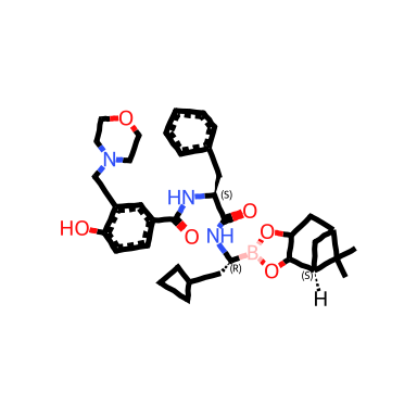 CC1(C)C2CC3OB([C@H](CC4CCC4)NC(=O)[C@H](Cc4ccccc4)NC(=O)c4ccc(O)c(CN5CCOCC5)c4)OC3[C@H]1C2